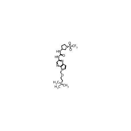 C[Si](C)(C)CCOCn1ccc2nc(NC(=O)NC3CCN(S(=O)(=O)C(F)(F)F)C3)cnc21